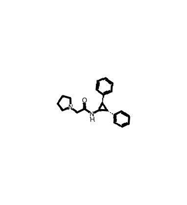 O=C(CN1CCCC1)NC1[C@@H](c2ccccc2)[C@@H]1c1ccccc1